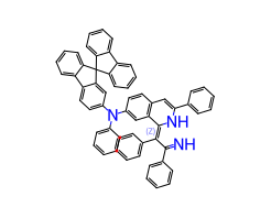 N=C(/C(=C1\NC(c2ccccc2)=Cc2ccc(N(c3ccccc3)c3ccc4c(c3)C3(c5ccccc5-c5ccccc53)c3ccccc3-4)cc21)c1ccccc1)c1ccccc1